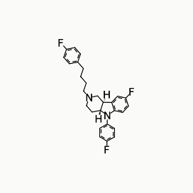 Fc1ccc(CCCCN2CC[C@@H]3[C@@H](C2)c2cc(F)ccc2N3c2ccc(F)cc2)cc1